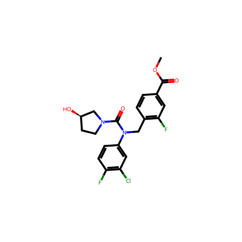 COC(=O)c1ccc(CN(C(=O)N2CC[C@@H](O)C2)c2ccc(F)c(Cl)c2)c(F)c1